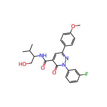 COc1ccc(-c2cc(C(=O)NC(CO)C(C)C)c(=O)n(-c3cccc(F)c3)n2)cc1